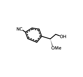 CO[C@@H](CO)c1ccc(C#N)cc1